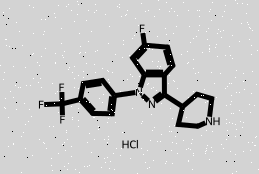 Cl.Fc1ccc2c(C3CCNCC3)nn(-c3ccc(C(F)(F)F)cc3)c2c1